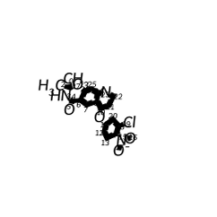 CC1(C)NC(=O)c2cc3c(Oc4ccc([N+](=O)[O-])c(Cl)c4)ccnc3cc2O1